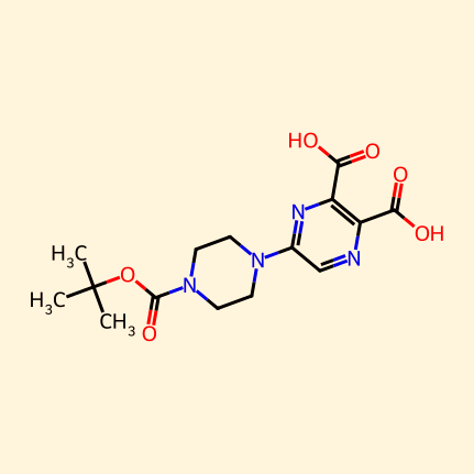 CC(C)(C)OC(=O)N1CCN(c2cnc(C(=O)O)c(C(=O)O)n2)CC1